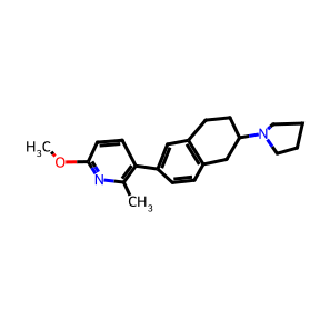 COc1ccc(-c2ccc3c(c2)CCC(N2CCCC2)C3)c(C)n1